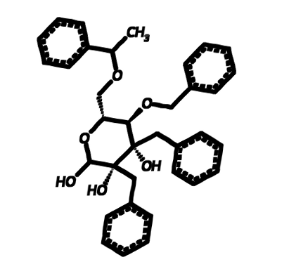 CC(OC[C@H]1OC(O)[C@](O)(Cc2ccccc2)[C@](O)(Cc2ccccc2)[C@@H]1OCc1ccccc1)c1ccccc1